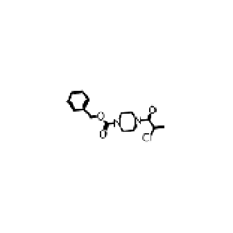 CC(Cl)C(=O)N1CCN(C(=O)OCc2ccccc2)CC1